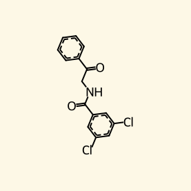 O=C(CNC(=O)c1cc(Cl)cc(Cl)c1)c1ccccc1